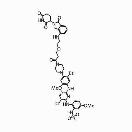 CCc1cc(Nc2ncc(Cl)c(Nc3ccc(OC)cc3N(C)S(C)(=O)=O)n2)c(OC)cc1N1CCN(C(=O)CCOCCNc2cccc3c2CN(C2CCC(=O)NC2=O)C3=O)CC1